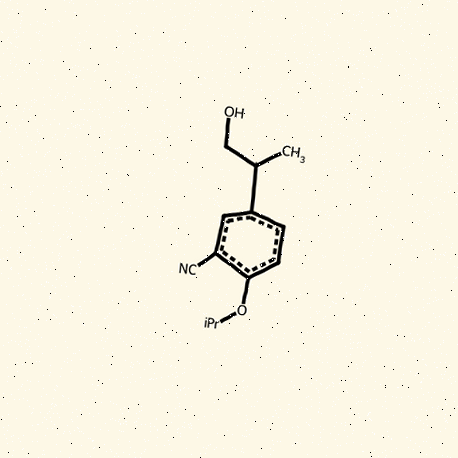 C[C](CO)c1ccc(OC(C)C)c(C#N)c1